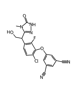 Cn1c(C(CO)c2ccc(Cl)c(Oc3cc(C#N)cc(C#N)c3)c2F)n[nH]c1=O